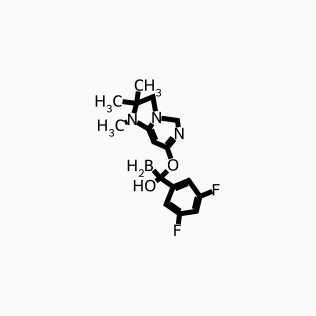 BC(O)(OC1=NCN2CC(C)(C)N(C)C2=C1)c1cc(F)cc(F)c1